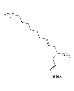 CCCCCCC=CCC(C/C=C/CCCCCCC(=O)O)[N+](=O)[O-]